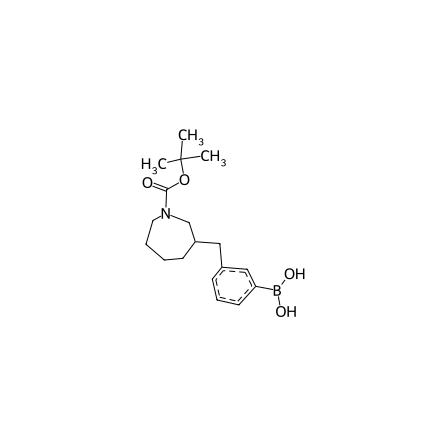 CC(C)(C)OC(=O)N1CCCCC(Cc2cccc(B(O)O)c2)C1